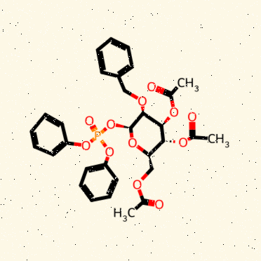 CC(=O)OC[C@H]1O[C@@H](OP(=O)(Oc2ccccc2)Oc2ccccc2)[C@@H](OCc2ccccc2)[C@@H](OC(C)=O)[C@@H]1OC(C)=O